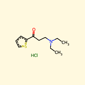 CCN(CC)CCC(=O)c1cccs1.Cl